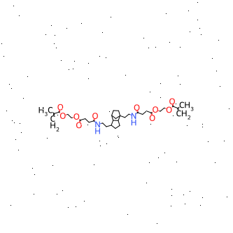 C=C(C)C(=O)OCCOC(=O)CCC(=O)NCCC1CCC2C1C1CCC2(CCNC(=O)CCC(=O)OCCOC(=O)C(=C)C)C1